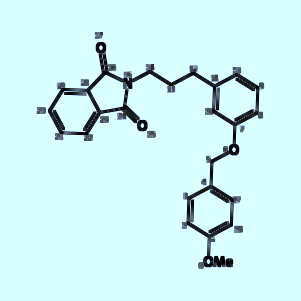 COc1ccc(COc2cccc(CCCN3C(=O)c4ccccc4C3=O)c2)cc1